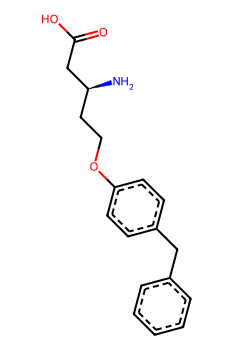 N[C@@H](CCOc1ccc(Cc2ccccc2)cc1)CC(=O)O